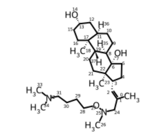 C/C(=C\[C@H]1CC[C@]2(O)[C@@H]3CC[C@@H]4C[C@@H](O)CC[C@]4(C)[C@H]3CC[C@]12C)CN(C)OCCCCN(C)C